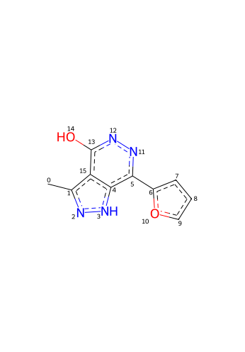 Cc1n[nH]c2c(-c3ccco3)nnc(O)c12